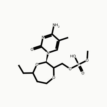 CCC1CCOC(COP(=O)(O)OC)[C@H](n2cc(C)c(N)nc2=O)O1